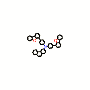 c1ccc2c(c1)ccc1ccc(N(c3ccc(-c4cccc5c4oc4ccccc45)cc3)c3ccc(-c4cccc5c4oc4ccccc45)cc3)cc12